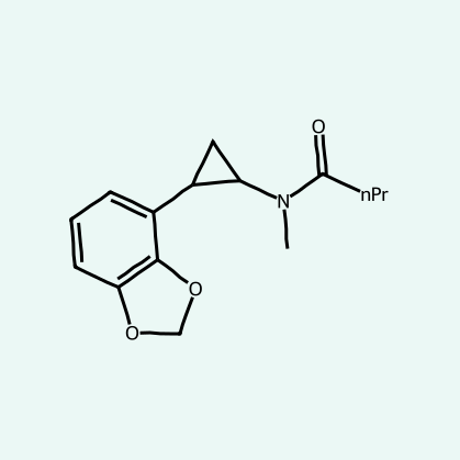 CCCC(=O)N(C)C1CC1c1cccc2c1OCO2